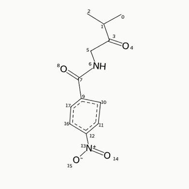 CC(C)C(=O)CNC(=O)c1ccc([N+](=O)[O-])cc1